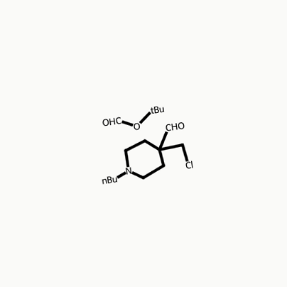 CC(C)(C)OC=O.CCCCN1CCC(C=O)(CCl)CC1